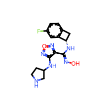 O/N=C(\N[C@H]1Cc2ccc(F)cc21)c1nonc1NC1CCNC1